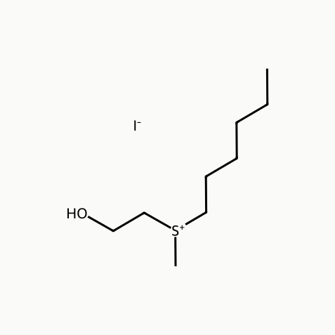 CCCCCC[S+](C)CCO.[I-]